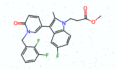 COC(=O)CCn1c(C)c(-c2ccc(=O)n(Cc3cccc(F)c3F)c2)c2cc(F)ccc21